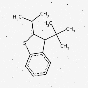 CC(C)C1Sc2ccccc2C1C(C)(C)C